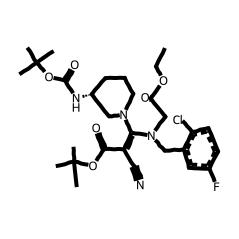 CCOC(=O)CN(Cc1cc(F)ccc1Cl)C(=C(C#N)C(=O)OC(C)(C)C)N1CCC[C@@H](NC(=O)OC(C)(C)C)C1